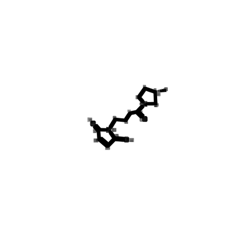 C[C@H]1CCN(C(=O)CCCN2C(=O)C=CC2=O)C1